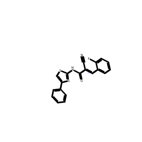 N#C/C(=C\c1ccccc1F)C(=O)Nc1nc(-c2ccccc2)cs1